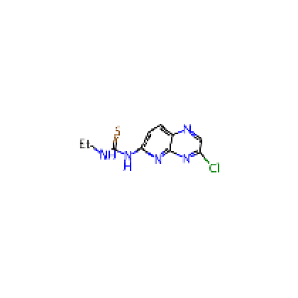 CCNC(=S)Nc1ccc2ncc(Cl)nc2n1